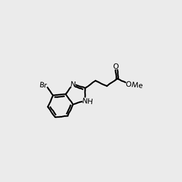 COC(=O)CCc1nc2c(Br)cccc2[nH]1